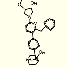 CO[C@@H]1CN(c2ccc(-c3ccc(C4(O)CN5CCC4CC5)cc3)c(Cc3ccccc3)n2)C[C@H]1O